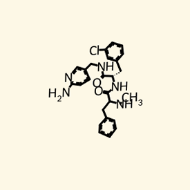 CNC(Cc1ccccc1)C(=O)N[C@@H](Cc1cccc(Cl)c1)C(=O)NCc1ccc(N)nc1